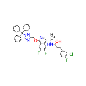 CC(NC(O)CCc1ccc(F)c(Cl)c1)c1cnc(OCc2ncn(C(c3ccccc3)(c3ccccc3)c3ccccc3)n2)c2cc(F)c(F)cc12